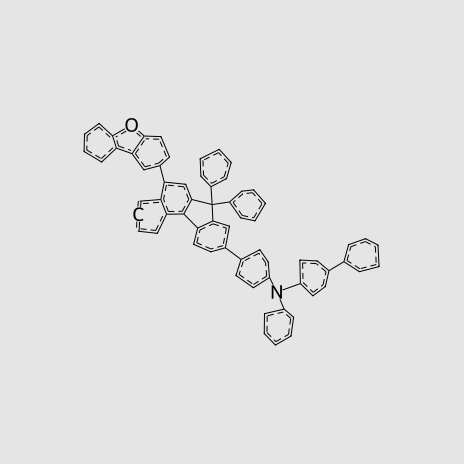 c1ccc(-c2ccc(N(c3ccccc3)c3ccc(-c4ccc5c(c4)C(c4ccccc4)(c4ccccc4)c4cc(-c6ccc7oc8ccccc8c7c6)c6ccccc6c4-5)cc3)cc2)cc1